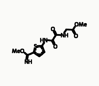 COC(=N)c1ccc(NC(=O)C(=O)NCC(=O)OC)s1